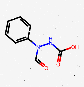 O=[C]N(NC(=O)O)c1ccccc1